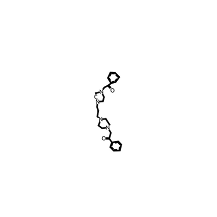 O=C(CN1CCN(CCCN2CCN(CC(=O)c3ccccc3)CC2)CC1)c1ccccc1